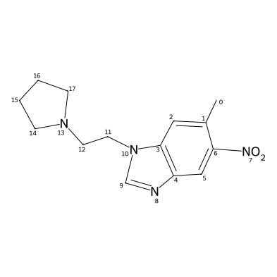 Cc1cc2c(cc1[N+](=O)[O-])ncn2CCN1CCCC1